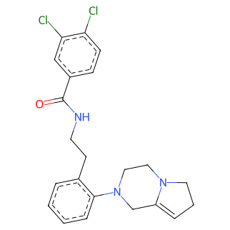 O=C(NCCc1ccccc1N1CCN2CCC=C2C1)c1ccc(Cl)c(Cl)c1